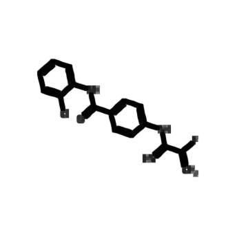 C=C(F)C(=N)Nc1ccc(C(=O)Nc2ccccc2Cl)cc1